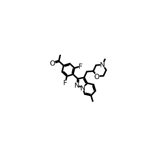 CC(=O)c1cc(F)c(-c2nn3cc(C)ccc3c2CC2CN(C)CCO2)c(F)c1